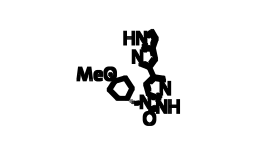 CO[C@H]1CC[C@H](Cn2c(=O)[nH]c3ncc(-c4cnc5[nH]ccc5c4)cc32)CC1